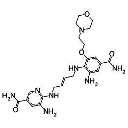 NC(=O)c1cnc(NC/C=C/CNc2c(N)cc(C(N)=O)cc2OCCN2CCOCC2)c(N)c1